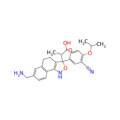 CC(C)Oc1ccc(C2(C(C)C(=O)O)ONC3=C2CCc2cc(CN)ccc23)cc1C#N